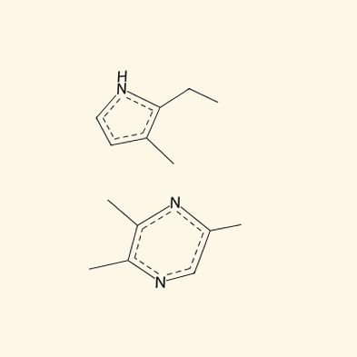 CCc1[nH]ccc1C.Cc1cnc(C)c(C)n1